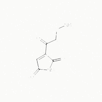 NOCC(=O)C1=CC(=O)NC1=O